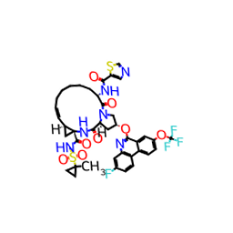 CC1(S(=O)(=O)NC(=O)[C@@]23C[C@H]2/C=C\CCCCC[C@H](NC(=O)c2cncs2)C(=O)N2C[C@H](Oc4nc5cc(F)ccc5c5ccc(OC(F)(F)F)cc45)C[C@H]2C(=O)N3)CC1